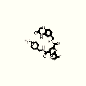 CN1CCC(CNC(=O)c2cc(C(=O)NCc3ccc4c(c3)NC(=O)CO4)nc3c(F)cnn23)CC1